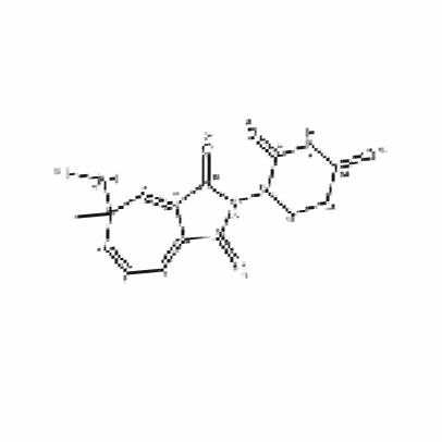 CC1(NI)C=CC=C2C(=O)N(C3CCC(=O)NC3=O)C(=O)C2=C1